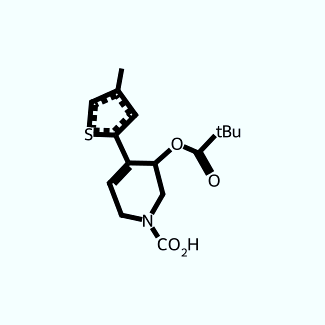 Cc1csc(C2=CCN(C(=O)O)CC2OC(=O)C(C)(C)C)c1